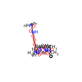 CCCN(CCC)C(=O)CCC(=O)NCCOCCOCCOCCOCC(=O)N(C)C(C(=O)N[C@H](C(=O)N(C)C(C(C)CC)C(CC(=O)N1CCCC1C(OC)C(C)C(=O)N[C@@H](C)[C@H](O)c1ccccc1)OC)C(C)C)C(C)C